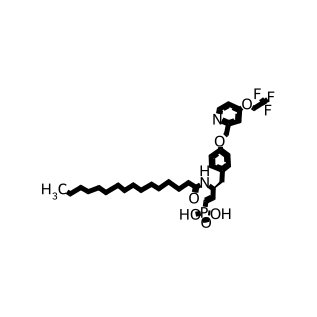 CCCCCCCCCCCCCCCC(=O)N[C@H](/C=C/P(=O)(O)O)Cc1ccc(OCc2cc(OCC(F)(F)F)ccn2)cc1